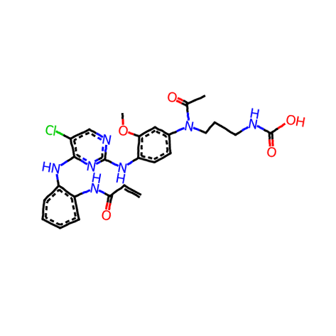 C=CC(=O)Nc1ccccc1Nc1nc(Nc2ccc(N(CCCNC(=O)O)C(C)=O)cc2OC)ncc1Cl